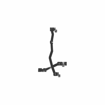 CN[C@](C)(CCCCN)C(=O)O